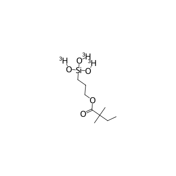 [3H]O[Si](CCCOC(=O)C(C)(C)CC)(O[3H])O[3H]